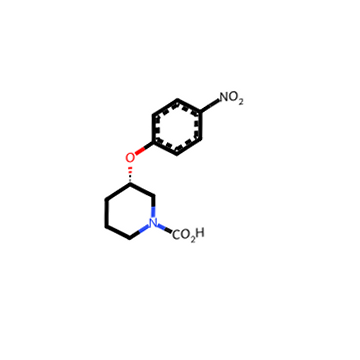 O=C(O)N1CCC[C@H](Oc2ccc([N+](=O)[O-])cc2)C1